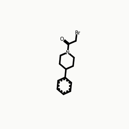 O=C(CBr)N1CCC(c2ccccc2)CC1